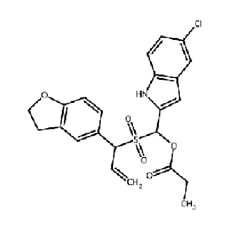 C=CC(c1ccc2c(c1)CCO2)S(=O)(=O)C(OC(=O)CC)c1cc2cc(Cl)ccc2[nH]1